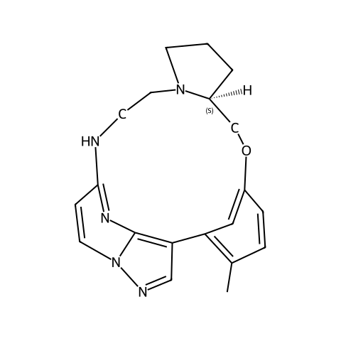 Cc1ccc2cc1-c1cnn3ccc(nc13)NCCN1CCC[C@H]1CO2